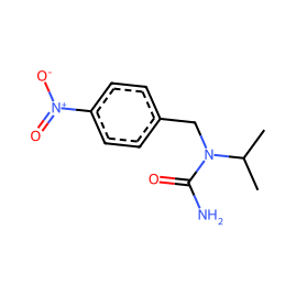 CC(C)N(Cc1ccc([N+](=O)[O-])cc1)C(N)=O